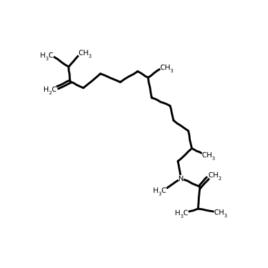 C=C(CCCCC(C)CCCCC(C)CN(C)C(=C)C(C)C)C(C)C